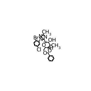 Cc1nc([C@@H]2OC3COC(c4ccccc4)O[C@@H]3C(C)C2O)n(-c2cc(Cl)ccc2Br)n1